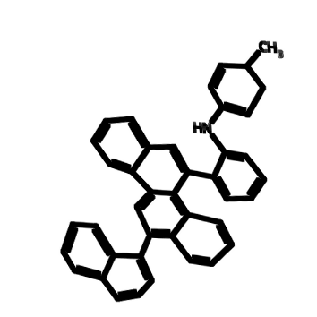 CC1C=CC(Nc2ccccc2-c2cc3ccccc3c3cc(-c4cccc5ccccc45)c4ccccc4c23)=CC1